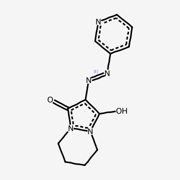 O=c1c(/N=N/c2cccnc2)c(O)n2n1CCCC2